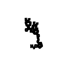 C[C@@H]1CCCN1CCCOc1cnc2c(c1)cc(C(=O)N1CCC(F)(F)CC1)n2CC(F)(F)F